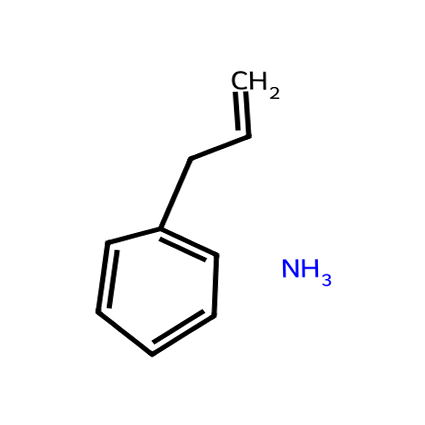 C=CCc1ccccc1.N